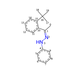 C/C(=N/Nc1ccccc1)c1ccccc1C(C)(C)C